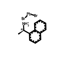 C[C@@H]([NH3+])c1cccc2ccccc12.[Br][Pb][Br]